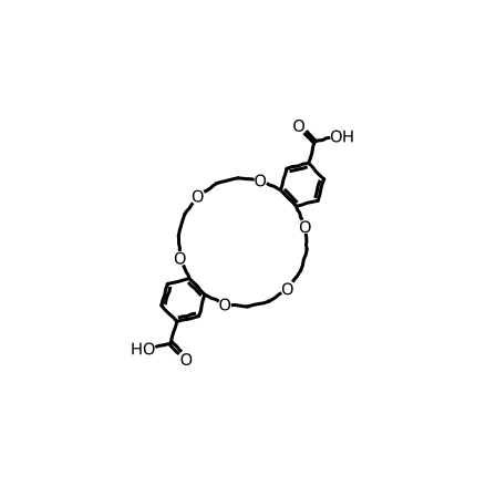 O=C(O)c1ccc2c(c1)OCCOCCOc1ccc(C(=O)O)cc1OCCOCCO2